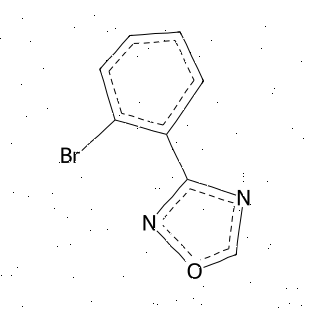 Brc1ccccc1-c1ncon1